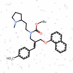 CCCCOC(=O)N(CCC1CCCN1C)C/C(=C\c1ccc(C(=O)O)cc1)COc1cccc2ccccc12